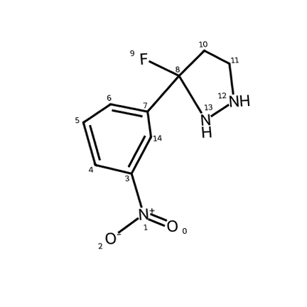 O=[N+]([O-])c1cccc(C2(F)CCNN2)c1